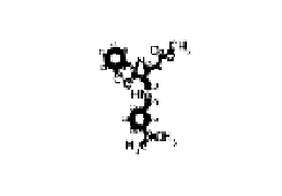 COC(=O)CC1=NN(c2ccccc2Cl)C(=O)/C1=C\NCc1cccc(N(C)C)c1